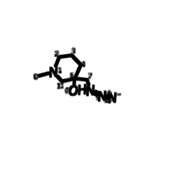 CN1CCCC(O)(CN=[N+]=[N-])C1